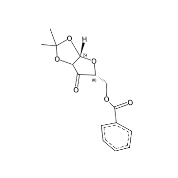 CC1(C)OC2C(=O)[C@@H](COC(=O)c3ccccc3)O[C@H]2O1